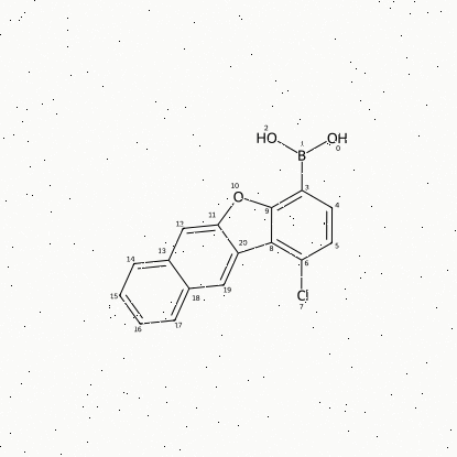 OB(O)c1ccc(Cl)c2c1oc1cc3ccccc3cc12